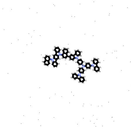 c1ccc2c(-n3c4ccccc4c4cc5c(cc43)c3ccccc3n5-c3ccc(-c4ccc5c(c4)c4ccccc4n5-c4ccc(N(c5ccc(-n6c7ccccc7c7ccccc76)cc5)c5ccc(-n6c7ccccc7c7ccccc76)cc5)cc4)c4ccccc34)cccc2c1